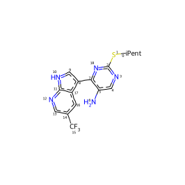 CCCC(C)Sc1ncc(N)c(-c2c[nH]c3ncc(C(F)(F)F)cc23)n1